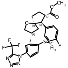 COC(=O)[C@H]1CC[C@@]2(C[C@H](c3cc(-n4nnnc4C(F)(F)F)ccc3SC)CO2)[C@@H]1c1ccc(F)cc1